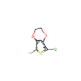 Clc1sc(Cl)c2c1OCCO2